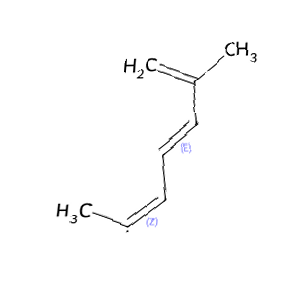 C=C(C)/C=C/C=[C]\C